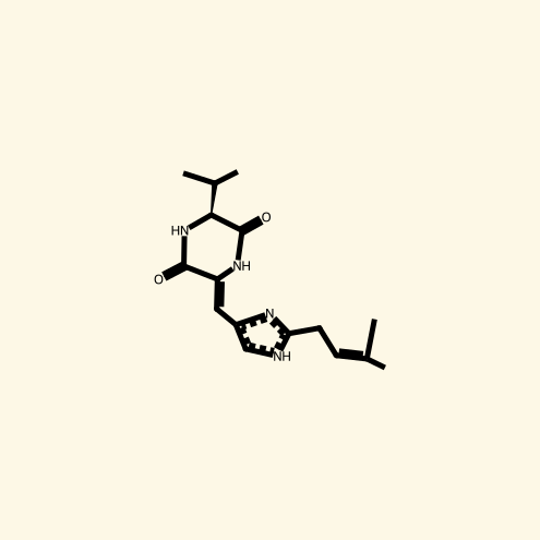 CC(C)=CCc1nc(/C=C2\NC(=O)[C@H](C(C)C)NC2=O)c[nH]1